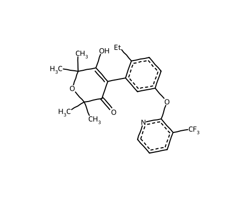 CCc1ccc(Oc2ncccc2C(F)(F)F)cc1C1=C(O)C(C)(C)OC(C)(C)C1=O